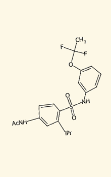 CC(=O)Nc1ccc(S(=O)(=O)Nc2cccc(OC(C)(F)F)c2)c(C(C)C)c1